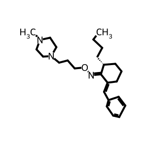 CCCC[C@@H]1CCCC(=C\c2ccccc2)/C1=N/OCCCN1CCN(C)CC1